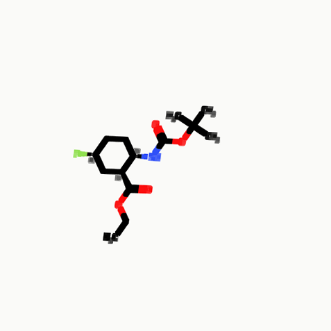 CCOC(=O)[C@H]1C[C@H](F)CC[C@@H]1NC(=O)OC(C)(C)C